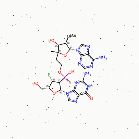 CO[C@H]1[C@H](n2cnc3c(N)ncnc32)O[C@](C)(CCOP(O)(=S)[C@@H]2[C@@H](F)[C@@H](CO)O[C@H]2n2cnc3c(=O)[nH]c(N)nc32)[C@H]1O